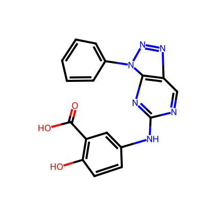 O=C(O)c1cc(Nc2ncc3nnn(-c4ccccc4)c3n2)ccc1O